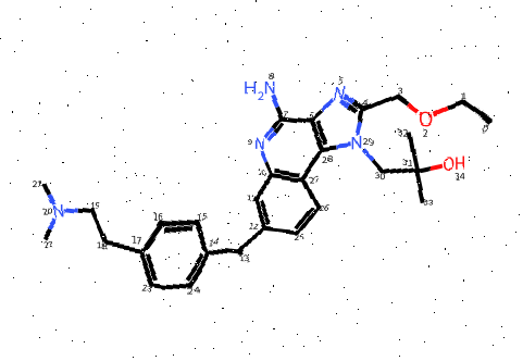 CCOCc1nc2c(N)nc3cc(Cc4ccc(CCN(C)C)cc4)ccc3c2n1CC(C)(C)O